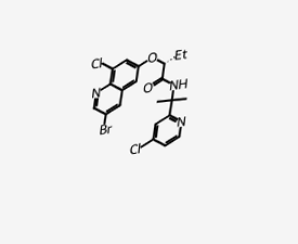 CC[C@@H](Oc1cc(Cl)c2ncc(Br)cc2c1)C(=O)NC(C)(C)c1cc(Cl)ccn1